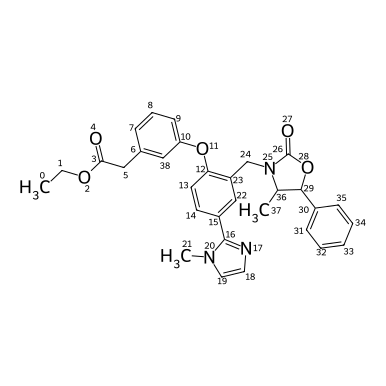 CCOC(=O)Cc1cccc(Oc2ccc(-c3nccn3C)cc2CN2C(=O)OC(c3ccccc3)C2C)c1